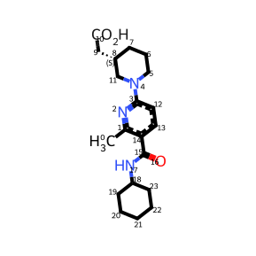 Cc1nc(N2CCC[C@@H](CC(=O)O)C2)ccc1C(=O)NC1CCCCC1